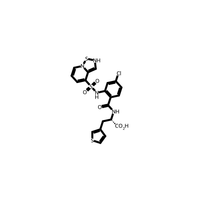 O=C(N[C@@H](Cc1ccsc1)C(=O)O)c1ccc(Cl)cc1NS(=O)(=O)C1=CC=CN2SNC=C12